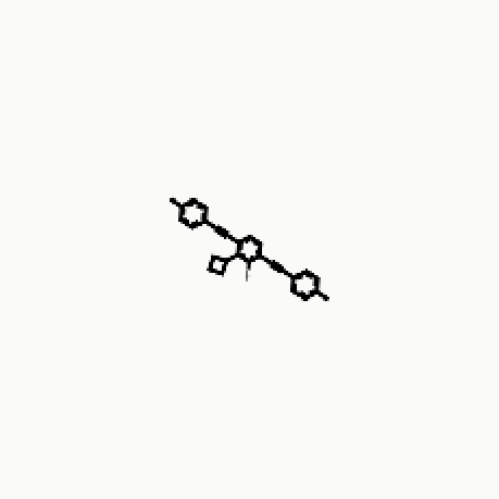 Cc1ccc(C#Cc2ccc(C#Cc3ccc(C)cc3)c(C3CCC3)c2F)cc1